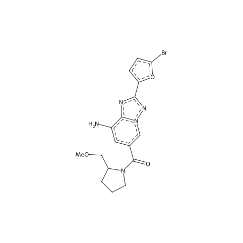 COCC1CCCN1C(=O)c1cc(N)c2nc(-c3ccc(Br)o3)nn2c1